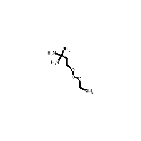 NC(N)(N)CCOOOC[SiH3]